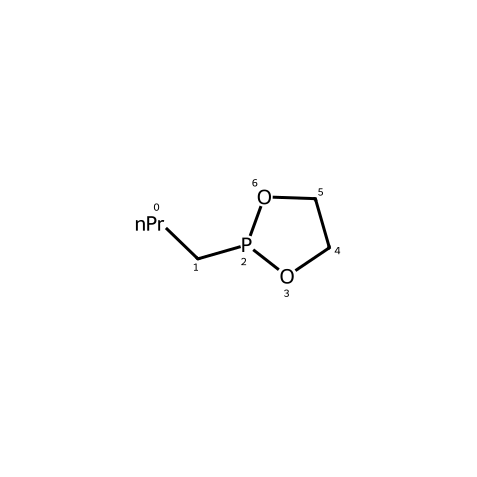 CCCCP1OCCO1